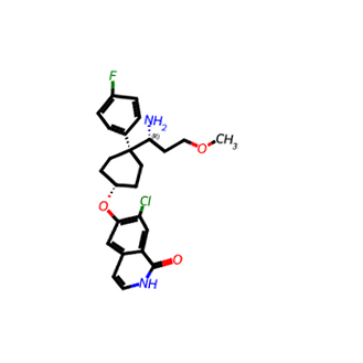 COCC[C@@H](N)[C@]1(c2ccc(F)cc2)CC[C@@H](Oc2cc3cc[nH]c(=O)c3cc2Cl)CC1